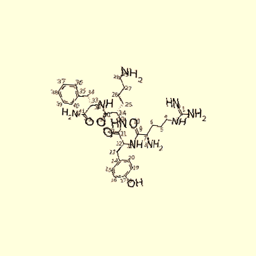 N=C(N)NCCC[C@@H](N)C(=O)N[C@@H](Cc1ccc(O)cc1)C(=O)N[C@@H](CCCCN)C(=O)N[C@@H](Cc1ccccc1)C(N)=O